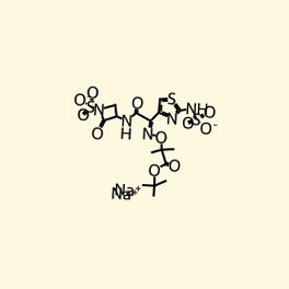 CC(C)(C)OC(=O)C(C)(C)O/N=C(/C(=O)NC1CN(S(=O)(=O)[O-])C1=O)c1csc(NS(=O)(=O)[O-])n1.[Na+].[Na+]